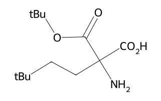 CC(C)(C)CCC(N)(C(=O)O)C(=O)OC(C)(C)C